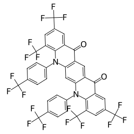 O=c1c2cc3c(=O)c4cc(C(F)(F)F)cc(C(F)(F)F)c4n(-c4ccc(C(F)(F)F)cc4)c3cc2n(-c2ccc(C(F)(F)F)cc2)c2c(C(F)(F)F)cc(C(F)(F)F)cc12